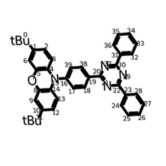 CC(C)(C)c1ccc2c(c1)Oc1cc(C(C)(C)C)ccc1N2c1ccc(-c2nc(-c3ccccc3)nc(-c3ccccc3)n2)cc1